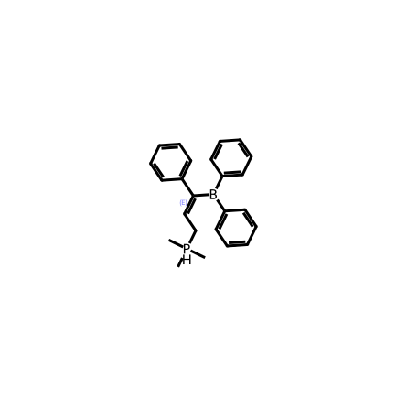 C[PH](C)(C)C/C=C(\B(c1ccccc1)c1ccccc1)c1ccccc1